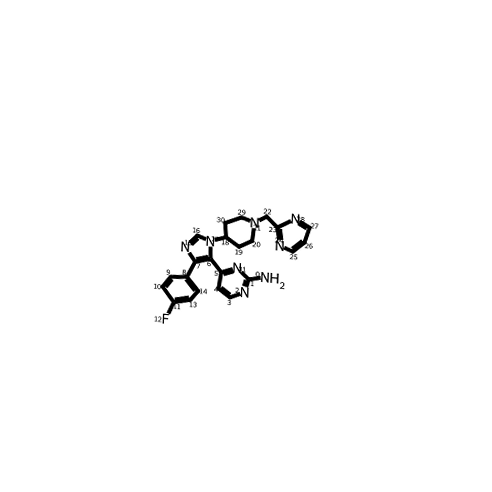 Nc1nccc(-c2c(-c3ccc(F)cc3)ncn2C2CCN(Cc3ncccn3)CC2)n1